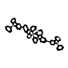 c1ccc(-n2c3ccccc3c3cc(-c4ccc5sc6c([Si](c7ccccc7)(c7ccccc7)c7nccc8c7sc7ccc(-c9ccc%10c(c9)c9ccncc9n%10-c9ccccc9)cc78)nccc6c5c4)ccc32)cc1